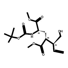 C=C[C@H](CO)[C@@H](C[C@H](NC(=O)OC(C)(C)C)C(=O)OC)C(=O)OC